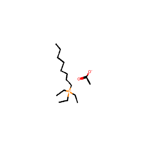 CC(=O)[O-].CCCCCCCC[P+](CC)(CC)CC